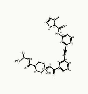 CCC(NC(=O)N1CC[SH](O)(=NC(=O)c2cncc(C#Cc3cccc(NC(=O)c4occc4C)c3)c2)CC1)C(=O)O